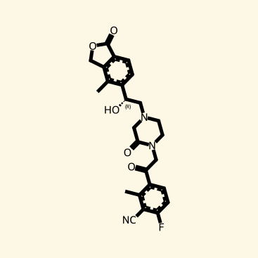 Cc1c(C(=O)CN2CCN(C[C@H](O)c3ccc4c(c3C)COC4=O)CC2=O)ccc(F)c1C#N